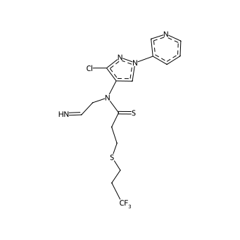 N=CCN(C(=S)CCSCCC(F)(F)F)c1cn(-c2cccnc2)nc1Cl